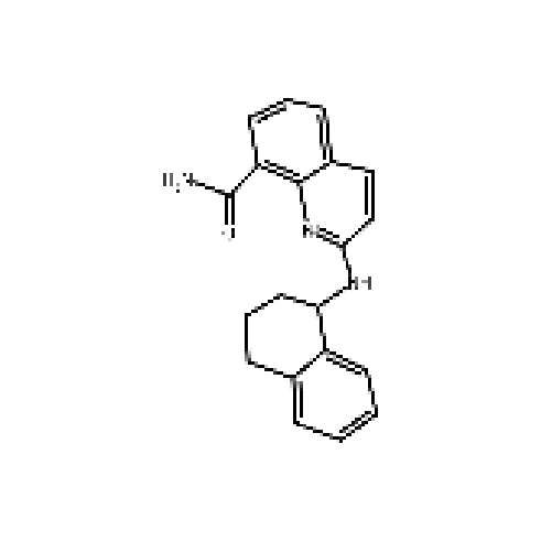 NC(=O)c1cccc2ccc(NC3CCCc4ccccc43)nc12